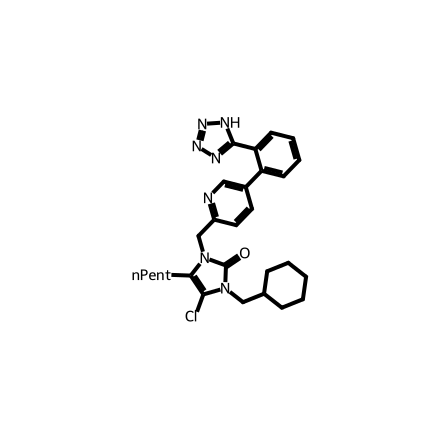 CCCCCc1c(Cl)n(CC2CCCCC2)c(=O)n1Cc1ccc(-c2ccccc2-c2nnn[nH]2)cn1